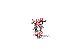 CCCCCCCCCC(=O)O[C@@H]1[C@@H](C)[C@@]2(O)[C@@H](C=C(CO)C[C@]3(O)C(=O)C(C)=C[C@@H]23)C(C)(C)[C@]1(C)OC(=O)CCCCCCCCC